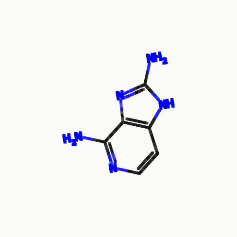 Nc1nc2c(N)nccc2[nH]1